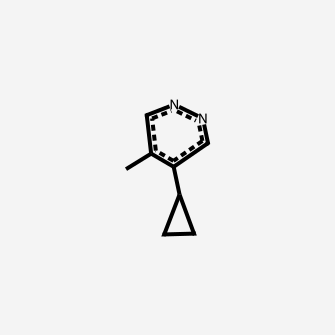 Cc1cnncc1C1CC1